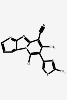 Cc1nc(-c2c(C)c(C#N)c3nc4ncccc4n3c2Cl)cs1